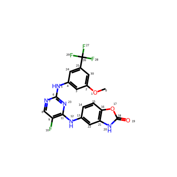 COc1cc(Nc2ncc(F)c(Nc3ccc4oc(=O)[nH]c4c3)n2)cc(C(F)(F)F)c1